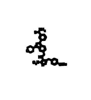 COc1ccc(Cn2cnc([N+](=O)[O-])c2NCc2ccc3c(-c4cccc(C(N)=S)c4)cn(C4CCOCC4)c3c2)cc1